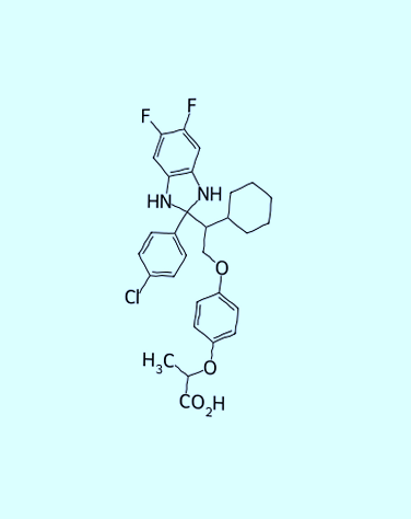 CC(Oc1ccc(OCC(C2CCCCC2)C2(c3ccc(Cl)cc3)Nc3cc(F)c(F)cc3N2)cc1)C(=O)O